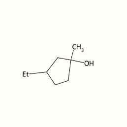 CCC1CCC(C)(O)C1